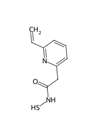 C=Cc1cccc(CC(=O)NS)n1